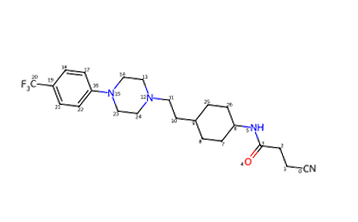 N#CCCC(=O)NC1CCC(CCN2CCN(c3ccc(C(F)(F)F)cc3)CC2)CC1